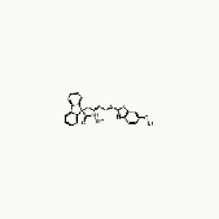 CCCNC(=O)C1(CC=CCSc2nc3ccc(OCC)cc3s2)c2ccccc2-c2ccccc21